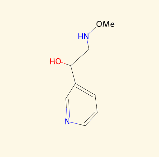 CONCC(O)c1cccnc1